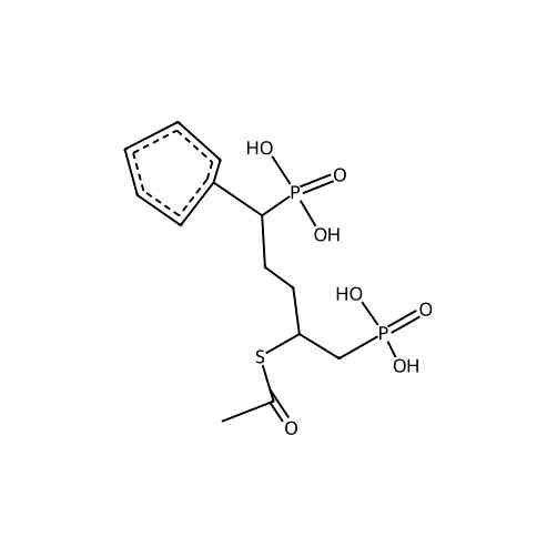 CC(=O)SC(CCC(c1ccccc1)P(=O)(O)O)CP(=O)(O)O